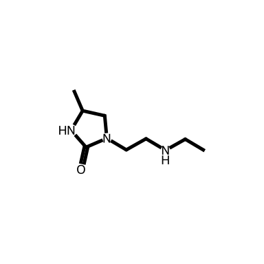 CCNCCN1CC(C)NC1=O